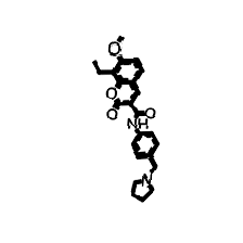 CCc1c(OC)ccc2cc(C(=O)Nc3ccc(CN4CCCC4)cc3)c(=O)oc12